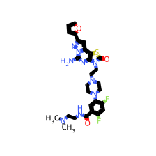 CN(C)CCNC(=O)c1cc(N2CCN(CCn3c(=O)sc4c3nc(N)n3nc(-c5ccco5)cc43)CC2)c(F)cc1F